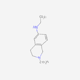 CCOC(=O)CNc1ccc2c(c1)CCN(C(=O)O)C2